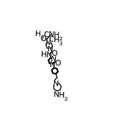 CC(C)(N)C(=O)N1CCN(C(=O)Nc2ccn(-c3ccc(CCN4CCC[C@@H](N)CC4)cc3)c(=O)n2)CC1